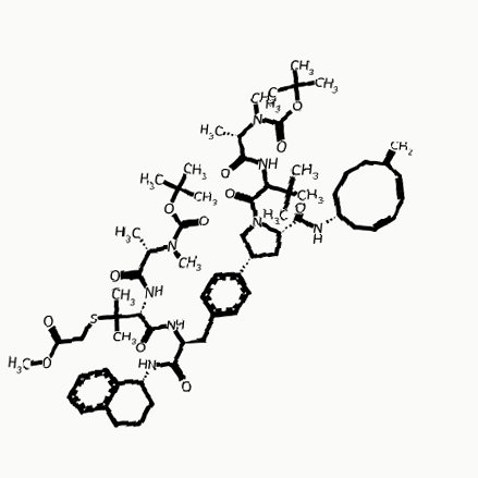 C=C1/C=C\C=C/C[C@H](NC(=O)[C@@H]2C[C@H](c3ccc(C[C@H](NC(=O)[C@@H](NC(=O)[C@H](C)N(C)C(=O)OC(C)(C)C)C(C)(C)SCC(=O)OC)C(=O)N[C@@H]4CCCc5ccccc54)cc3)CN2C(=O)C(NC(=O)[C@H](C)N(C)C(=O)OC(C)(C)C)C(C)(C)C)CCC1